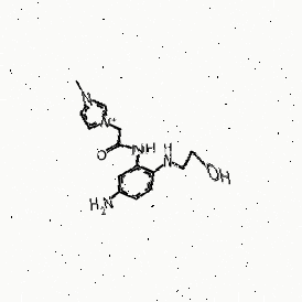 Cn1cc[n+](CC(=O)Nc2cc(N)ccc2NCCO)c1